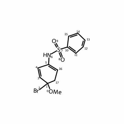 COC1(Br)C=CC(NS(=O)(=O)c2ccccc2)=CC1